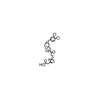 O=C(O)Cc1csc(SCC(=O)NCC2CN(Cc3ccc(Cl)c(Cl)c3)CCO2)n1